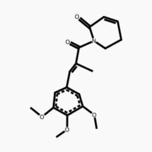 COc1cc(/C=C(\C)C(=O)N2CCC=CC2=O)cc(OC)c1OC